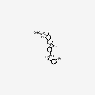 Cc1c(C)n(Cc2ccc(Cl)c(O[C@H](C=O)C(C)C)c2)c2ccc(C(=O)N[C@@H](C)c3cccc(C(C)C)c3)cc12